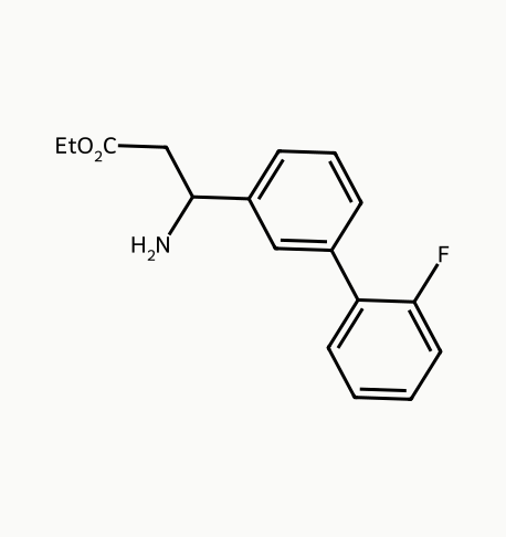 CCOC(=O)CC(N)c1cccc(-c2ccccc2F)c1